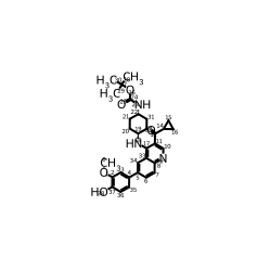 COc1cc(-c2ccc3ncc(C(=O)C4CC4)c(N[C@H]4CC[C@H](NC(=O)OC(C)(C)C)CC4)c3c2)ccc1O